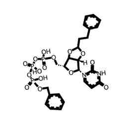 O=c1ccn([C@@H]2O[C@H](COP(=O)(O)OP(=O)(O)OP(=O)(O)OCc3ccccc3)C3OC(CCc4ccccc4)O[C@@H]32)c(=O)[nH]1